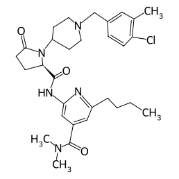 CCCCc1cc(C(=O)N(C)C)cc(NC(=O)[C@H]2CCC(=O)N2C2CCN(Cc3ccc(Cl)c(C)c3)CC2)n1